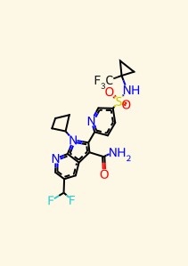 NC(=O)c1c(-c2ccc(S(=O)(=O)NC3(C(F)(F)F)CC3)cn2)n(C2CCC2)c2ncc(C(F)F)cc12